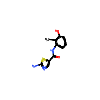 Cc1c(O)cccc1NC(=O)c1cnc(N)s1